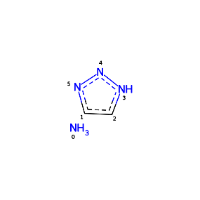 N.c1c[nH]nn1